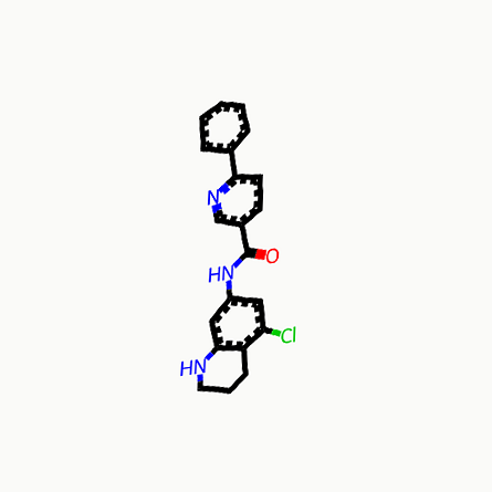 O=C(Nc1cc(Cl)c2c(c1)NCCC2)c1ccc(-c2ccccc2)nc1